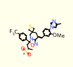 COc1cc(/C=C2\CC3(CSC3)CN3C2=NOC3(CC(C)S(C)(=O)=O)c2ccc(C(F)(F)F)cc2)ccc1-n1cnc(C)c1